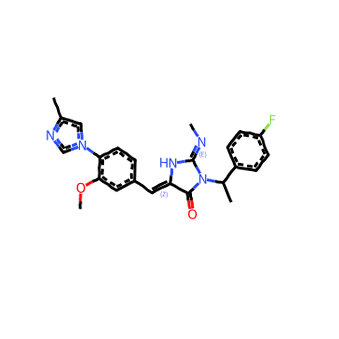 C/N=C1\N/C(=C\c2ccc(-n3cnc(C)c3)c(OC)c2)C(=O)N1C(C)c1ccc(F)cc1